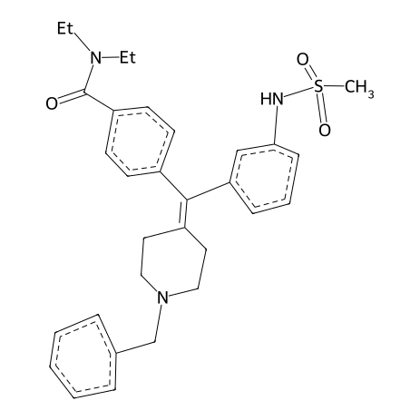 CCN(CC)C(=O)c1ccc(C(=C2CCN(Cc3ccccc3)CC2)c2cccc(NS(C)(=O)=O)c2)cc1